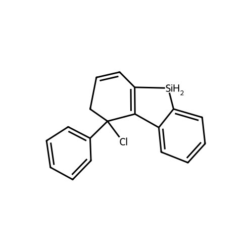 ClC1(c2ccccc2)CC=CC2=C1c1ccccc1[SiH2]2